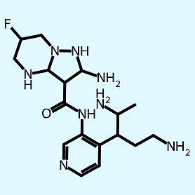 CC(N)C(CCN)c1ccncc1NC(=O)C1C(N)NN2CC(F)CNC12